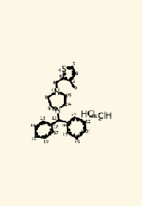 Cc1ccsc1CN1CCN(C(c2ccccc2)c2ccccc2)CC1.Cl.Cl